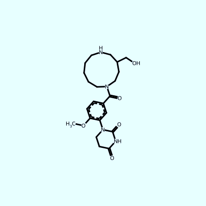 COc1ccc(C(=O)N2CCCCCNCC(CO)CC2)cc1N1CCC(=O)NC1=O